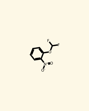 O=[N+]([O-])c1c[c]ccc1OC(F)F